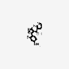 CC(C)(C)c1noc(-c2ccc(N)cc2F)c1C(O)c1cccnc1